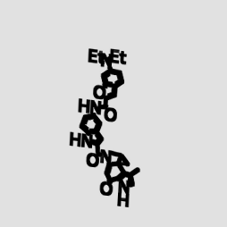 CCN(CC)c1ccc2cc(C(=O)Nc3ccc4[nH]c(C(=O)N5CC6C[C@@]67C5=CC(=O)c5[nH]cc(C)c57)cc4c3)oc2c1